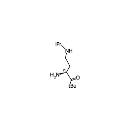 CC(C)NCC[C@H](N)C(=O)C(C)(C)C